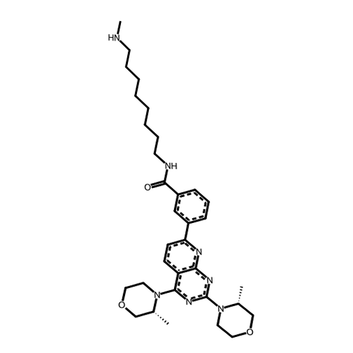 CNCCCCCCCCNC(=O)c1cccc(-c2ccc3c(N4CCOC[C@H]4C)nc(N4CCOC[C@H]4C)nc3n2)c1